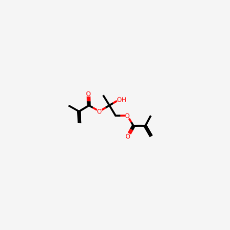 C=C(C)C(=O)OCC(C)(O)OC(=O)C(=C)C